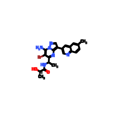 Cc1ccc2ncc(-c3cnn4c(N)c(Br)c(C(C)NC(=O)[C@H](C)O)nc34)cc2c1